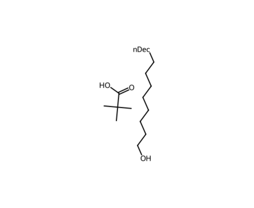 CC(C)(C)C(=O)O.CCCCCCCCCCCCCCCCCCO